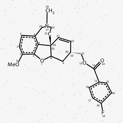 COc1ccc2c3c1OC1C[C@@H](COC(=O)c4ccc(F)cc4)C=C[C@@]31CCN(C)C2